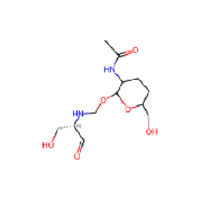 CC(=O)NC1CCC(CO)OC1OCN[C@H](C=O)CO